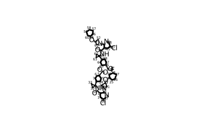 O=C(OC(=O)c1ccc(C2(NC(=O)c3cc(Cl)cnc3N3CC(Oc4cccc(F)c4)C3)CC2)cc1)c1ccc(C2(NC(=O)c3cc(Cl)cnc3N3CC(Oc4ccccc4)C3)CC2)cc1